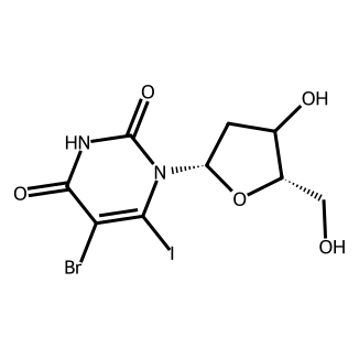 O=c1[nH]c(=O)n([C@@H]2CC(O)[C@H](CO)O2)c(I)c1Br